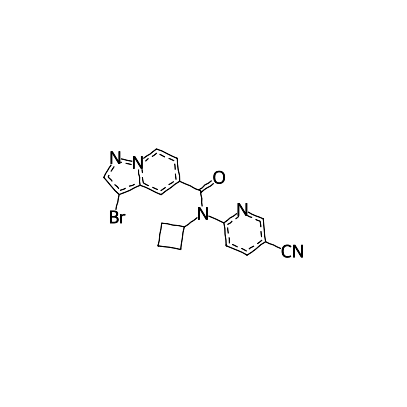 N#Cc1ccc(N(C(=O)c2ccn3ncc(Br)c3c2)C2CCC2)nc1